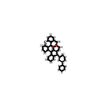 C1=CC(c2ccccc2)CC(c2c3ccccc3c(-c3cccc4c3-c3cccc5cccc(c35)S4)c3ccccc23)=C1